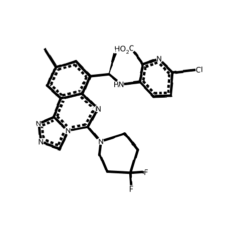 Cc1cc([C@@H](C)Nc2ccc(Cl)nc2C(=O)O)c2nc(N3CCC(F)(F)CC3)n3cnnc3c2c1